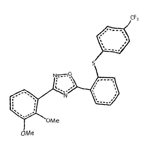 COc1cccc(-c2noc(-c3ccccc3Sc3ccc(C(F)(F)F)cc3)n2)c1OC